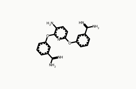 N=C(N)c1cccc(Oc2ccc(N)c(Oc3cccc(C(=N)N)c3)n2)c1